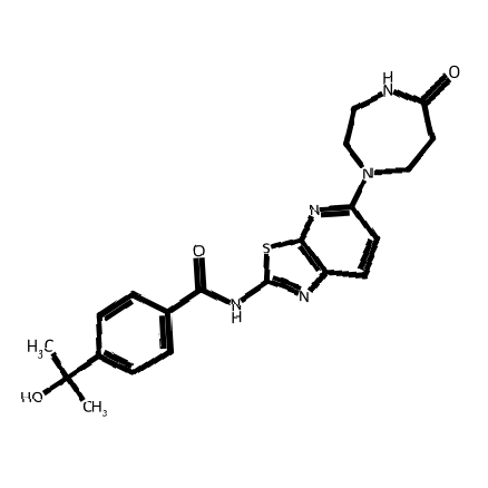 CC(C)(O)c1ccc(C(=O)Nc2nc3ccc(N4CCNC(=O)CC4)nc3s2)cc1